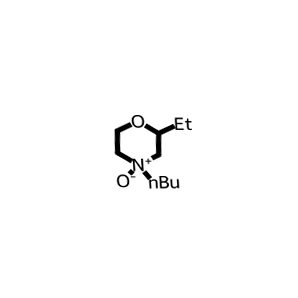 CCCC[N+]1([O-])CCOC(CC)C1